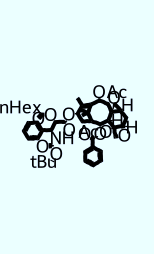 CCCCCCC(=O)O[C@@H](C(=O)O[C@H]1CC2[C@@H](OC(=O)c3ccccc3)[C@@H]3[C@]4(OC(C)=O)CO[C@@H]4C[C@@H]4C[C@@]43C(=O)[C@H](OC(C)=O)C(=C1C)C2(C)C)[C@@H](NC(=O)OC(C)(C)C)c1ccccc1